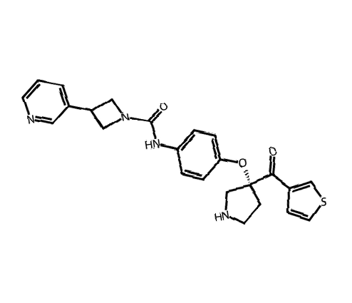 O=C(Nc1ccc(O[C@]2(C(=O)c3ccsc3)CCNC2)cc1)N1CC(c2cccnc2)C1